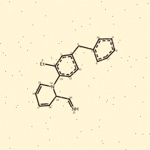 CCc1cc(Cc2ccccc2)ccc1N1C=CC=CC1C=N